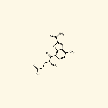 Cc1ccc(C(=O)[C@@H](N)CCC(=O)O)c2oc(C(N)=O)cc12